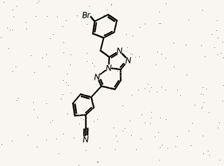 N#Cc1cccc(-c2ccc3nnc(Cc4cccc(Br)c4)n3n2)c1